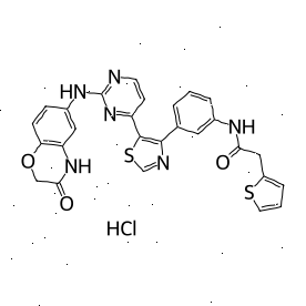 Cl.O=C(Cc1cccs1)Nc1cccc(-c2ncsc2-c2ccnc(Nc3ccc4c(c3)NC(=O)CO4)n2)c1